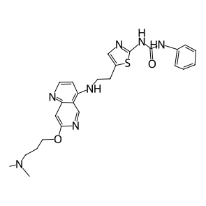 CN(C)CCCOc1cc2nccc(NCCc3cnc(NC(=O)Nc4ccccc4)s3)c2cn1